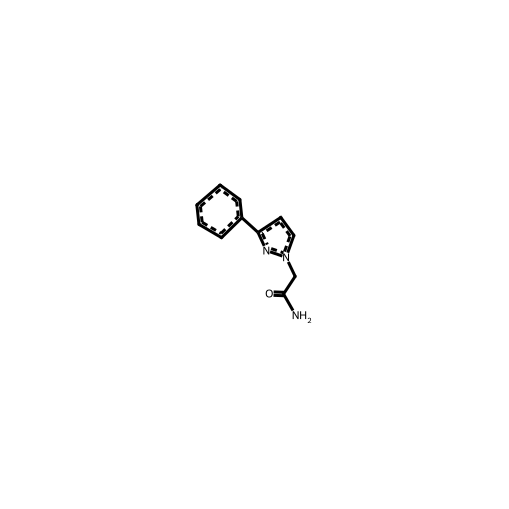 NC(=O)Cn1ccc(-c2ccccc2)n1